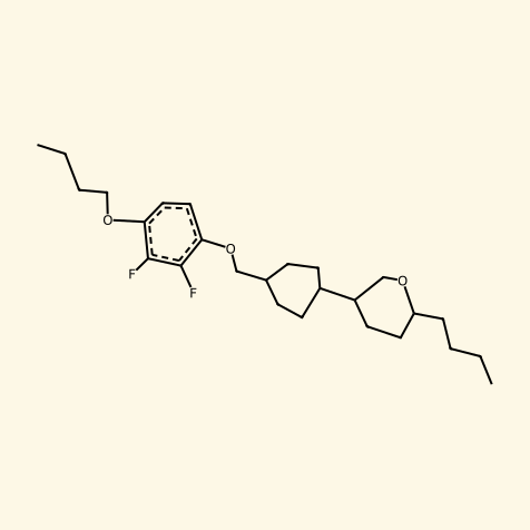 CCCCOc1ccc(OCC2CCC(C3CCC(CCCC)OC3)CC2)c(F)c1F